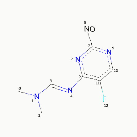 CN(C)/C=N/c1nc(N=O)ncc1F